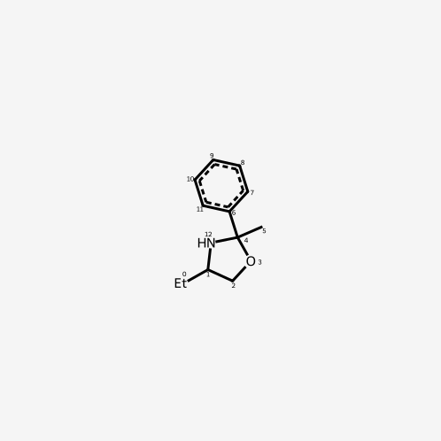 CCC1COC(C)(c2ccccc2)N1